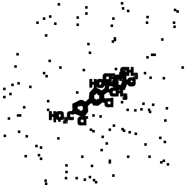 C[C@@H](c1ccc(-c2ccc(C(=O)O)c(Cl)c2)cc1Cl)[C@](O)(c1ccc(=O)n(C)c1)C(F)(F)F